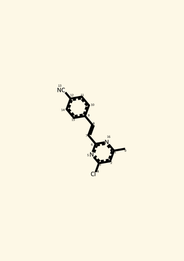 Cc1cc(Cl)nc(/C=C/c2ccc(C#N)cc2)n1